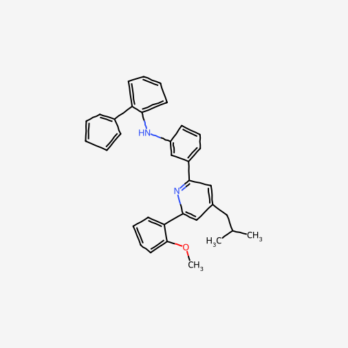 COc1ccccc1-c1cc(CC(C)C)cc(-c2cccc(Nc3ccccc3-c3ccccc3)c2)n1